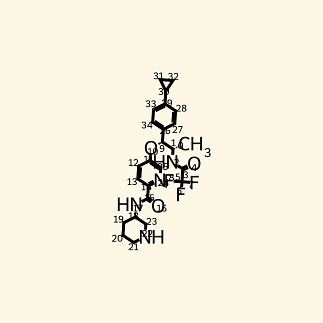 C[C@H](NC(=O)C(F)(F)F)[C@H](Oc1ccc(C(=O)N[C@H]2CCCNC2)nc1)c1ccc(C2CC2)cc1